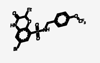 CCC1Oc2c(cc(Br)cc2S(=O)(=O)NCc2ccc(OC(F)(F)F)cc2)NC1=O